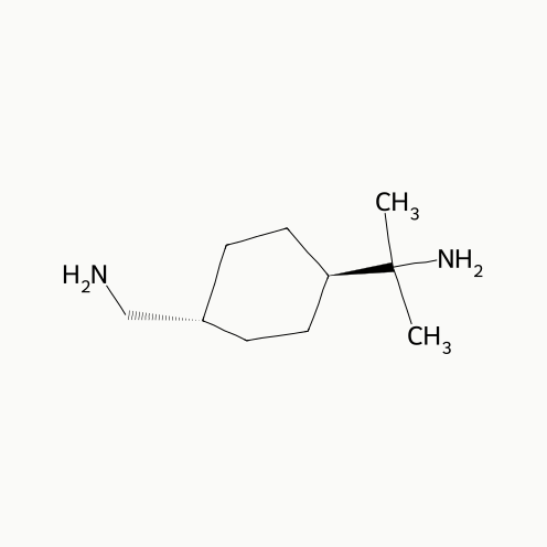 CC(C)(N)[C@H]1CC[C@H](CN)CC1